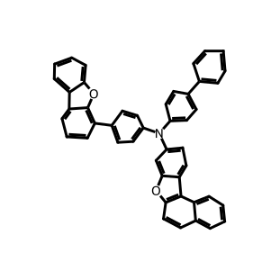 c1ccc(-c2ccc(N(c3ccc(-c4cccc5c4oc4ccccc45)cc3)c3ccc4c(c3)oc3ccc5ccccc5c34)cc2)cc1